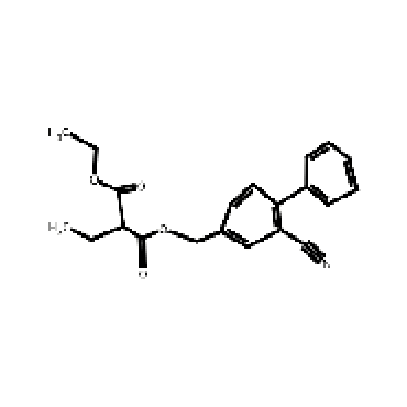 CCOC(=O)C(CC)C(=O)OCc1ccc(-c2ccccc2)c(C#N)c1